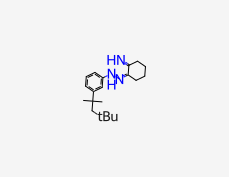 CC(C)(C)CC(C)(C)c1cccc(N/N=C2/CCCCC2=N)c1